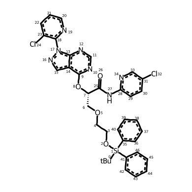 CC(C)(C)[Si](OCCOC[C@H](Oc1ncnc2c1cnn2-c1ncccc1Cl)C(=O)Nc1ccc(Cl)cn1)(c1ccccc1)c1ccccc1